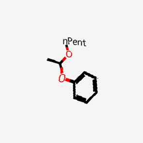 CCCCCOC(C)Oc1c[c]ccc1